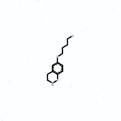 ClCCCCOc1ccc2c(c1)CCNO2